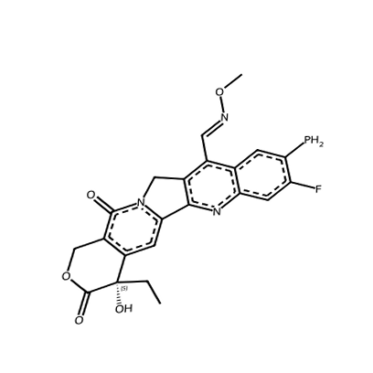 CC[C@@]1(O)C(=O)OCc2c1cc1n(c2=O)Cc2c-1nc1cc(F)c(P)cc1c2C=NOC